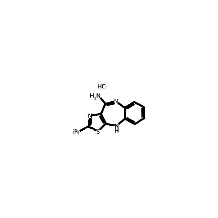 CC(C)c1nc2c(s1)Nc1ccccc1N=C2N.Cl